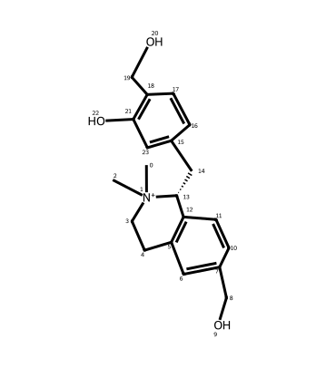 C[N+]1(C)CCc2cc(CO)ccc2[C@H]1Cc1ccc(CO)c(O)c1